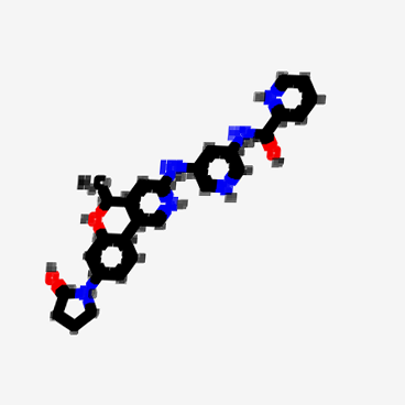 CC1Oc2cc(N3CCCC3=O)ccc2-c2cnc(Nc3cncc(NC(=O)c4ccccn4)c3)cc21